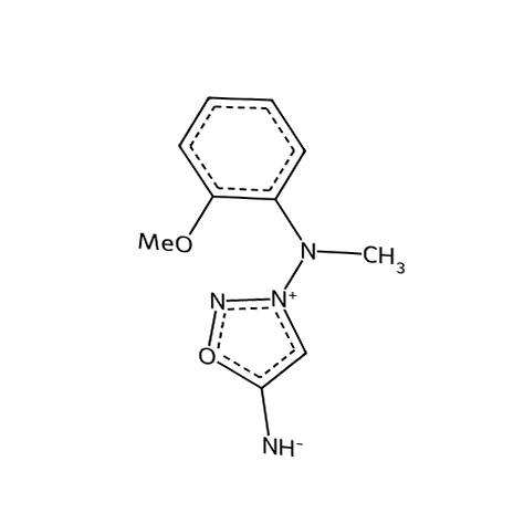 COc1ccccc1N(C)[n+]1cc([NH-])on1